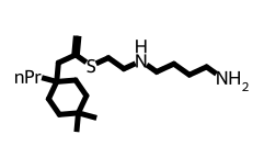 C=C(CC1(CCC)CCC(C)(C)CC1)SCCNCCCCN